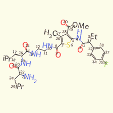 CCC(C(=O)Nc1sc(C(=O)NCCNC(=O)[C@H](CC(C)C)NC(=O)[C@@H](N)CC(C)C)c(C)c1C(=O)OC)c1ccc(F)cc1